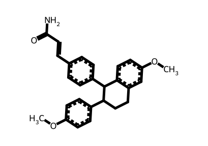 COc1ccc(C2CCc3cc(OC)ccc3C2c2ccc(C=CC(N)=O)cc2)cc1